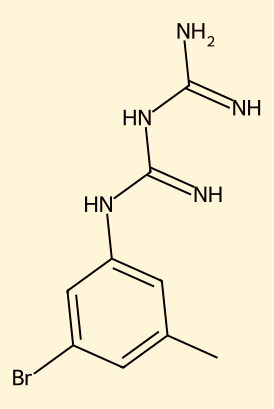 Cc1cc(Br)cc(NC(=N)NC(=N)N)c1